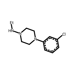 CCNN1CCN(c2cccc(Cl)c2)CC1